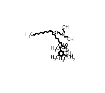 CCCCCCCC/C=C\CCCCCCCC(=O)Oc1c(C(C)(C)C)cc(C)cc1C(C)(C)C.OCCN(CCO)CCO